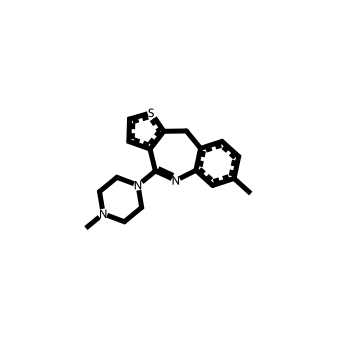 Cc1ccc2c(c1)N=C(N1CCN(C)CC1)c1ccsc1C2